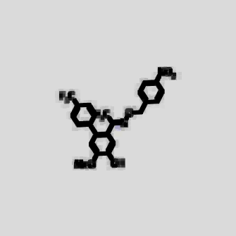 COc1cc(-c2ccc(C(F)(F)F)cc2)c(/C(C)=N/OCc2ccc([N+](=O)[O-])cc2)cc1O